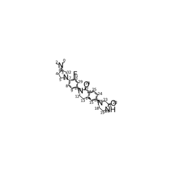 CN(C)[C@@H]1CCN(c2ccc(N3CCc4cc(N5CCNC(=O)C5)ccc4C3=O)cc2F)C1